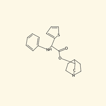 O=C(OC1CN2CCC1CC2)C(Nc1ccccc1)c1cccs1